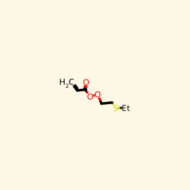 C=CC(=O)OOCCSCC